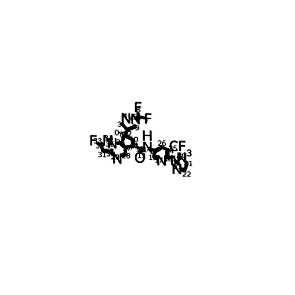 C[C@]1(c2cnn(C(F)F)c2)C[C@@H](C(=O)Nc2cnc(-n3nccn3)c(C(F)(F)F)c2)c2cnc3cc(F)nn3c21